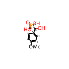 COc1ccc(C(O)P(=O)(O)O)cc1